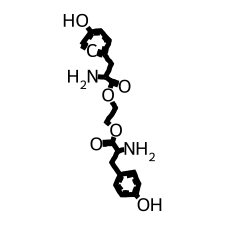 NC(Cc1ccc(O)cc1)C(=O)OCCOC(=O)C(N)Cc1ccc(O)cc1